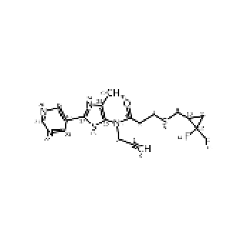 C#CCN(C(=O)CCSCC1CC1(F)F)c1sc(-c2cncnc2)nc1C